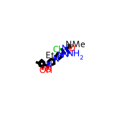 CC[C@H]1CN(c2nc(N)c(C(=O)NC)nc2Cl)CCN1C1CCN(C(=O)c2ccc(C)cc2O)CC1